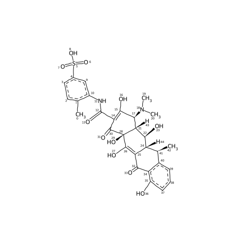 Cc1ccc(S(=O)(=O)O)cc1NC(=O)C1=C(O)[C@@H](N(C)C)[C@@H]2[C@@H](O)[C@H]3C(=C(O)[C@]2(O)C1=O)C(=O)c1c(O)cccc1[C@@H]3C